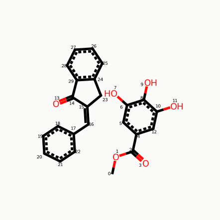 COC(=O)c1cc(O)c(O)c(O)c1.O=C1C(=Cc2ccccc2)Cc2ccccc21